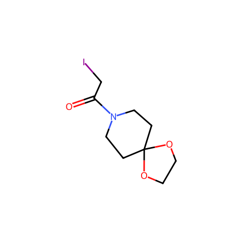 O=C(CI)N1CCC2(CC1)OCCO2